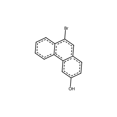 Oc1ccc2cc(Br)c3ccccc3c2c1